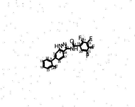 O=C(Nc1n[nH]c2cc(-c3ccccc3F)ccc12)c1cc(F)c(F)c(F)c1F